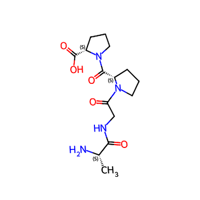 C[C@H](N)C(=O)NCC(=O)N1CCC[C@H]1C(=O)N1CCC[C@H]1C(=O)O